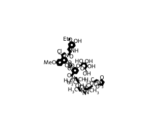 CCOc1cc2cc(C(=O)N3C[C@@H](CCl)c4c3cc(OS(=O)(=O)Oc3cc(C(=O)N(C)CC(C)(C)COC(C)(C)Cn5cc(C(C)(C)COC(C)(C)CN6C(=O)C=CC6=O)nn5)ccc3O[C@@H]3O[C@H](CO)[C@H](O)[C@H](O)[C@H]3O)c3ccc(OC)cc43)[nH]c2cc1O